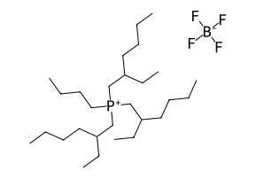 CCCCC(CC)C[P+](CCCC)(CC(CC)CCCC)CC(CC)CCCC.F[B-](F)(F)F